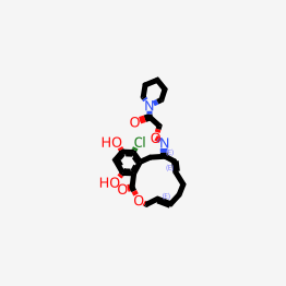 O=C1OC/C=C/CC/C=C/C(=N/OCC(=O)N2CCCCC2)Cc2c(Cl)c(O)cc(O)c21